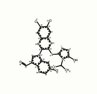 CC(C)n1c(O)nnc1Sc1nc2cc(Cl)c(Cl)cc2nc1-n1cc(C=O)c2ncc(Cl)cc21